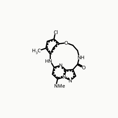 CNc1cc2nc3c(cnn13)C(=O)NCCOc1cc(c(C)cc1Cl)N2